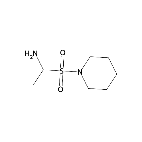 CC(N)S(=O)(=O)N1CCCCC1